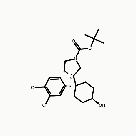 CC(C)(C)OC(=O)N1CC[C@@H]([C@]2(c3ccc(Cl)c(Cl)c3)CC[C@H](O)CC2)C1